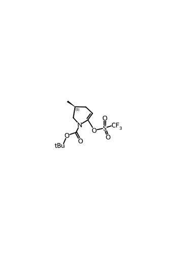 C[C@H]1CC=C(OS(=O)(=O)C(F)(F)F)N(C(=O)OC(C)(C)C)C1